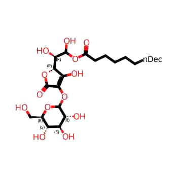 CCCCCCCCCCCCCCCC(=O)OC(O)[C@H](O)[C@H]1OC(=O)C(OC2O[C@H](CO)[C@@H](O)[C@H](O)[C@H]2O)=C1O